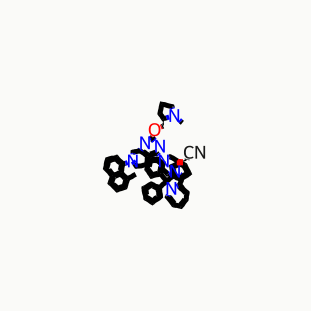 Cc1cccc2cccc(N3CCc4c(nc(OC[C@@H]5CCCN5C)nc4N4CCN(CC5=CC=CC=CN5C(c5ccccc5)(c5ccccc5)c5ccccc5)[C@@H](CC#N)C4)C3)c12